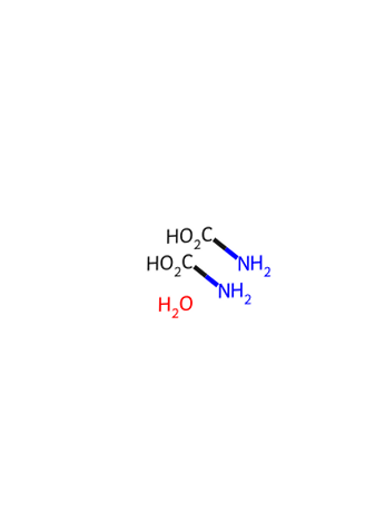 NC(=O)O.NC(=O)O.O